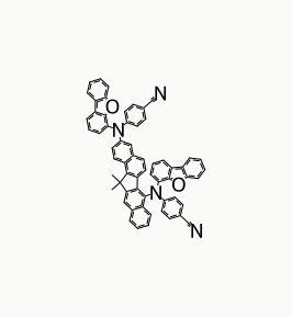 CC1(C)c2cc3ccccc3c(N(c3ccc(C#N)cc3)c3cccc4c3oc3ccccc34)c2-c2ccc3cc(N(c4ccc(C#N)cc4)c4cccc5c4oc4ccccc45)ccc3c21